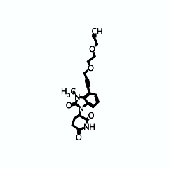 C#CCOCCOCC#Cc1cccc2c1n(C)c(=O)n2C1CCC(=O)NC1=O